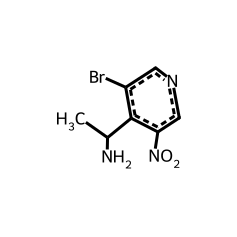 CC(N)c1c(Br)cncc1[N+](=O)[O-]